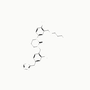 CCCCOCc1cc(N2CCCN(Cc3ccc(Cc4nnco4)cc3OC)C2=O)ccc1OC